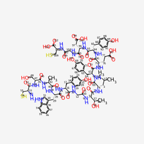 CC(C)C[C@H](NC(=O)[C@@H](NC(=O)CNC(=O)[C@H](Cc1ccc(O)cc1)NC(=O)[C@H](Cc1c[nH]c2ccccc12)NC(=O)[C@H](C)NC(=O)[C@H](CO)NC(=O)[C@@H](N)CS)[C@@H](C)O)C(=O)N[C@@H](Cc1ccc(O)cc1)C(=O)N[C@@H](CCC(=O)O)C(=O)N[C@@H](Cc1ccc(O)cc1)C(=O)N[C@@H](CC(=O)O)C(=O)NCC(=O)N[C@@H](CS)C(=O)O